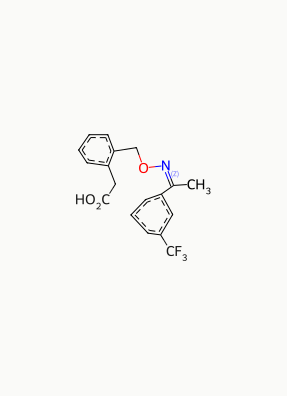 C/C(=N/OCc1ccccc1CC(=O)O)c1cccc(C(F)(F)F)c1